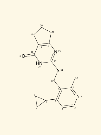 Cc1nccc(C2CC2)c1CSc1nc2c(c(=O)[nH]1)CCC2